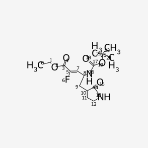 CCOC(=O)/C(F)=C/C(CC1CCNC1=O)NC(=O)OC(C)(C)C